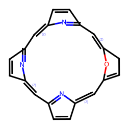 C1=C/C2=C/C3=CC/C(=C/C4=NC(=C\C5=NC(=C\C1=N2)/C=C5)/C=C4)O3